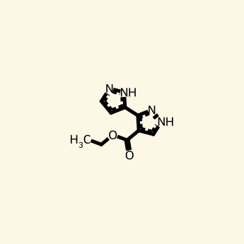 CCOC(=O)c1c[nH]nc1-c1ccn[nH]1